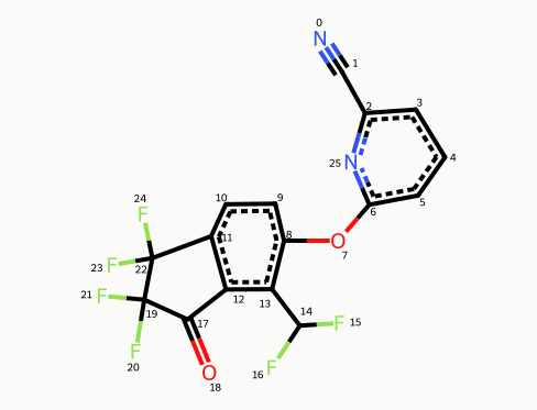 N#Cc1cccc(Oc2ccc3c(c2C(F)F)C(=O)C(F)(F)C3(F)F)n1